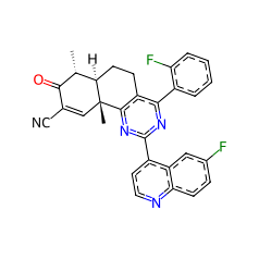 C[C@H]1C(=O)C(C#N)=C[C@@]2(C)c3nc(-c4ccnc5ccc(F)cc45)nc(-c4ccccc4F)c3CC[C@H]12